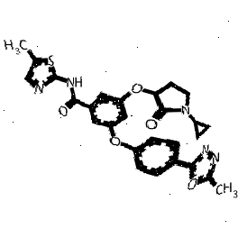 Cc1nnc(-c2ccc(Oc3cc(OC4CCN(C5CC5)C4=O)cc(C(=O)Nc4ncc(C)s4)c3)cc2)o1